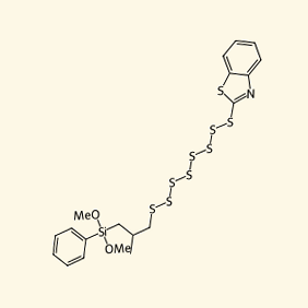 CO[Si](CC(C)CSSSSSSSSc1nc2ccccc2s1)(OC)c1ccccc1